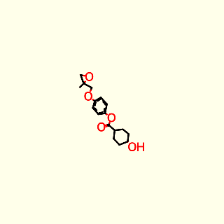 CC1(COc2ccc(OC(=O)C3CCC(O)CC3)cc2)CO1